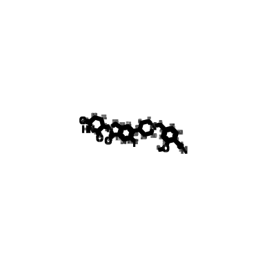 COc1cc(CN2CCC(c3cc4c(cc3F)C(=O)N(C3CCC(=O)NC3=O)C4)CC2)ccc1C#N